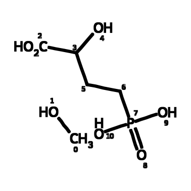 CO.O=C(O)C(O)CCP(=O)(O)O